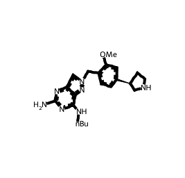 CCCCNc1nc(N)nc2cn(Cc3ccc([C@H]4CCNC4)cc3OC)nc12